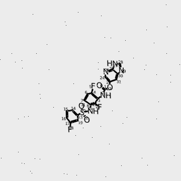 O=C(Nc1c(F)ccc(NS(=O)(=O)c2cccc(F)c2)c1F)Oc1cnc2[nH]cnc2c1